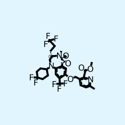 COC(=O)c1nc(C)ccc1COc1cc2c(cc1C(F)(F)F)N(C1CCC(F)(F)CC1)C[C@H](CCC(F)(F)F)N(C)S2(=O)=O